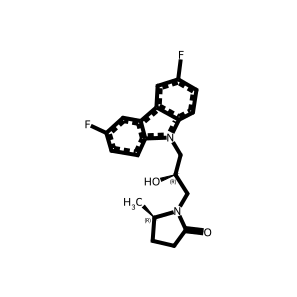 C[C@@H]1CCC(=O)N1C[C@@H](O)Cn1c2ccc(F)cc2c2cc(F)ccc21